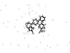 CNc1ncc(-c2ccccc2N2CCN(C(C=O)n3nc(C)cc3C)CC2)cn1